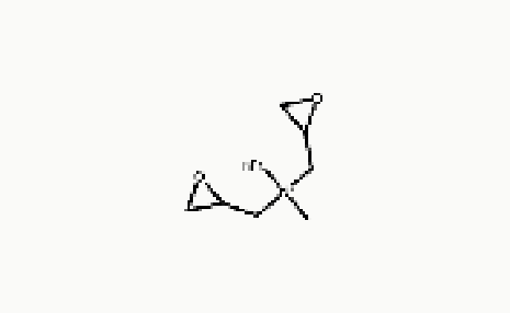 CCC[N+](C)(CC1CO1)CC1CO1